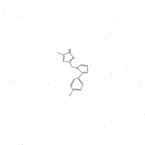 Cc1cc(Cn2cccc2-c2ccc(F)cc2)n[nH]1